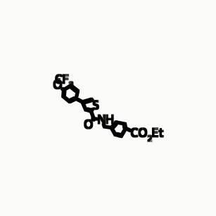 CCOC(=O)c1ccc(CNC(=O)c2cc(-c3ccc(OC(F)(F)F)cc3)cs2)cc1